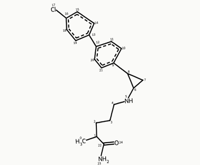 CC(CCCNC1CC1c1ccc(-c2ccc(Cl)cc2)cc1)C(N)=O